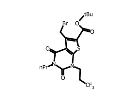 CCCn1c(=O)c2c(CBr)c(C(=O)OC(C)(C)C)sc2n(CCC(F)(F)F)c1=O